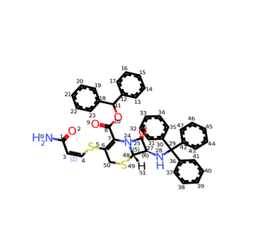 NC(=O)/C=C\SC1=C(C(=O)OC(c2ccccc2)c2ccccc2)N2C(=O)[C@@H](NC(c3ccccc3)(c3ccccc3)c3ccccc3)[C@@H]2SC1